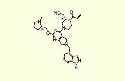 C=CC(=O)N1CCN(c2nc(OC[C@@H]3CCCN3C)nc3c2CN(Cc2cccc4[nH]ncc24)C3)C[C@@H]1CC#N